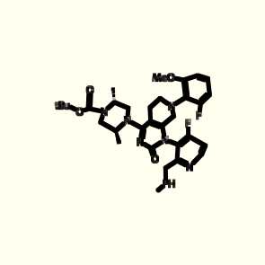 COc1cccc(F)c1N1CCc2c(N3C[C@@H](C)N(C(=O)OC(C)(C)C)C[C@@H]3C)nc(=O)n(-c3c(F)ccnc3CPC)c2C1